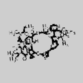 C=CC(=O)N(C)[C@@H]1C[C@H]1N(C)C(=O)N(C)[C@H](C(=O)NC1(C2Cc3nc(cs3)-c3ccc4c(c3)c(c(-c3cccnc3[C@H](C)OC)n4CC)CC(C)(C)COC(=O)[C@@H]3CCCN(N3)C2=O)CC1)C(C)C